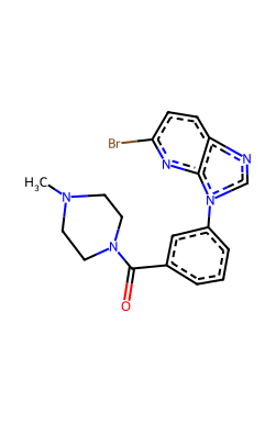 CN1CCN(C(=O)c2cccc(-n3cnc4ccc(Br)nc43)c2)CC1